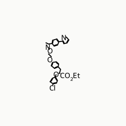 CCOC(=O)C(Cc1ccc(OCCO/N=C(/C)c2ccc(-c3ccccn3)cc2)cc1)Oc1ccc(Cl)cc1